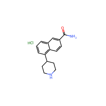 Cl.NC(=O)c1ccc2c(C3CCNCC3)cccc2c1